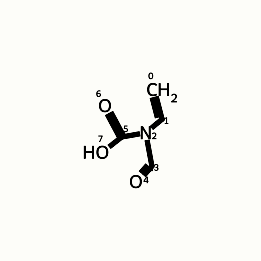 C=CN([C]=O)C(=O)O